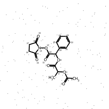 CC(=O)OC(C)C(=O)OC(C(=O)ON1C(=O)CCC1=O)c1ccccc1